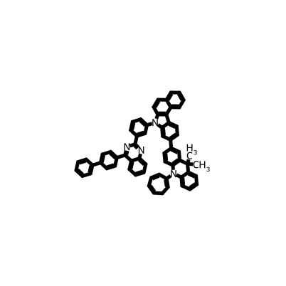 CC1(C)c2ccccc2N(C2=CCC=CC=C2)c2ccc(-c3ccc4c5c6ccccc6ccc5n(-c5cccc(-c6nc(-c7ccc(-c8ccccc8)cc7)c7ccccc7n6)c5)c4c3)cc21